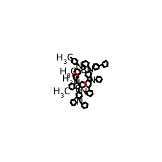 Cc1ccc(N2c3ccc(C)cc3B3c4cc5c6ccc(-c7ccccc7N7c8cc9c(cc8B8c%10cc(C)ccc%10N(c%10ccc(C)cc%10)c%10cccc7c%108)c7ccccc7n9-c7ccccc7)cc6n(-c6ccccc6)c5cc4N(c4ccc(-c5ccccc5)cc4)c4cccc2c43)cc1